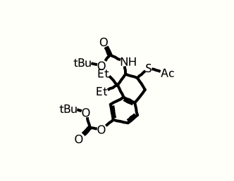 CCC1(CC)c2cc(OC(=O)OC(C)(C)C)ccc2CC(SC(C)=O)C1NC(=O)OC(C)(C)C